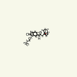 C[Si](C)(C)CCOCn1c(Cl)nc2ccc(NC(=O)CC3C4CC5CC(C4)CC3C5)cc21